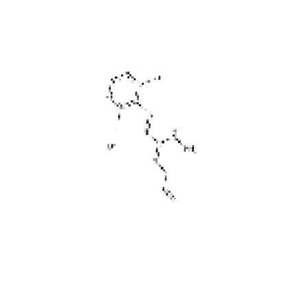 Br.C=CCN=C(N=Cc1c(Cl)cccc1Cl)NN